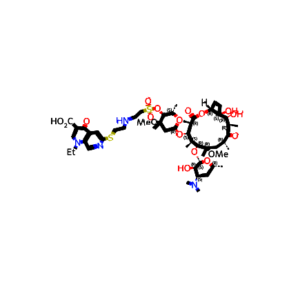 CCn1cc(C(=O)O)c(=O)c2cc(SCCNCCS(=O)(=O)O[C@H]3[C@H](C)O[C@@H](O[C@H]4[C@H](C)[C@@H](O[C@@H]5O[C@H](C)C[C@H](N(C)C)[C@H]5O)[C@](C)(OC)C[C@@H](C)C(=O)[C@H](C)[C@@H](O)[C@@]5(O)CC[C@H]5OC(=O)[C@@H]4C)C[C@@]3(C)OC)ncc21